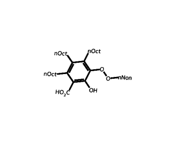 CCCCCCCCCOOc1c(O)c(C(=O)O)c(CCCCCCCC)c(CCCCCCCC)c1CCCCCCCC